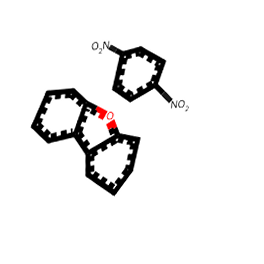 O=[N+]([O-])c1ccc([N+](=O)[O-])cc1.c1ccc2c(c1)oc1ccccc12